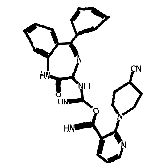 N#CC1CCN(c2ncccc2C(=N)OC(=N)NC2N=C(c3ccccc3)c3ccccc3NC2=O)CC1